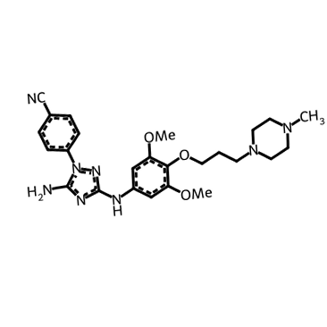 COc1cc(Nc2nc(N)n(-c3ccc(C#N)cc3)n2)cc(OC)c1OCCCN1CCN(C)CC1